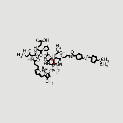 CCC(C)[C@H](NC(=O)CCC1=[N+]2C(=Cc3c(C)cc(C)n3[B-]2(F)F)C=C1)C(=O)N[C@@H](CCC(=O)O)C(=O)N1CCC[C@H]1C(=O)N[C@@H](CC(=O)O)C(=O)N[C@@H](C)C(=O)N[C@@H](CC(C)C)C(=O)NCCNC(=O)c1ccc(/N=N/c2ccc(N(C)C)cc2)cc1